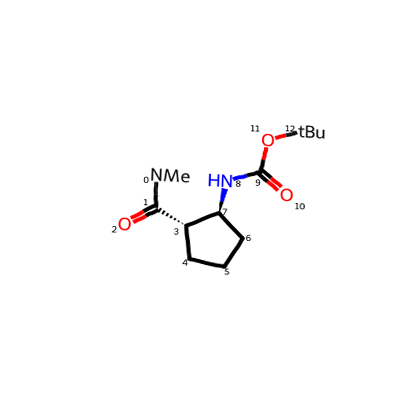 CNC(=O)[C@H]1CCC[C@@H]1NC(=O)OC(C)(C)C